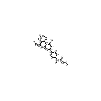 CCOC(=O)N(C)c1ccc(-c2cc(=O)c3c(OC)c(OC)c(OC)cc3o2)cc1